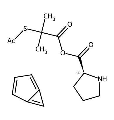 CC(=O)SC(C)(C)C(=O)OC(=O)[C@@H]1CCCN1.c1cc2cc-2c1